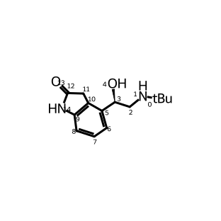 CC(C)(C)NC[C@H](O)c1cccc2c1CC(=O)N2